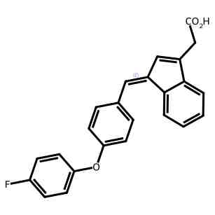 O=C(O)CC1=C/C(=C/c2ccc(Oc3ccc(F)cc3)cc2)c2ccccc21